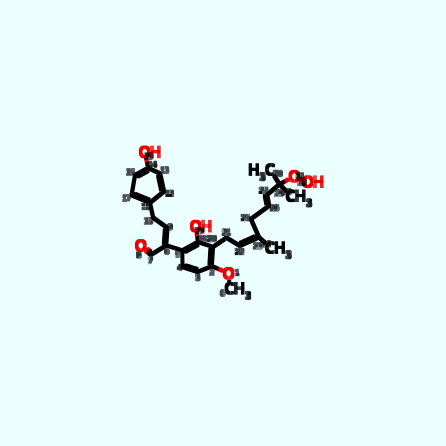 COc1ccc(C(C=O)=CCc2ccc(O)cc2)c(O)c1CC=C(C)CC=CC(C)(C)OO